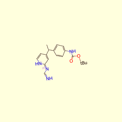 CC(c1ccc(NC(=O)OC(C)(C)C)cc1)c1cc[nH]/c(=N\C=N)c1